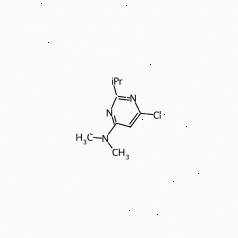 CC(C)c1nc(Cl)cc(N(C)C)n1